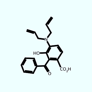 C=CCN(CC=C)c1ccc(C(=O)O)c(C(=O)c2ccccc2)c1O